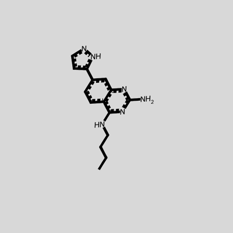 CCCCNc1nc(N)nc2cc(-c3ccn[nH]3)ccc12